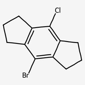 Clc1c2c(c(Br)c3c1CCC3)CCC2